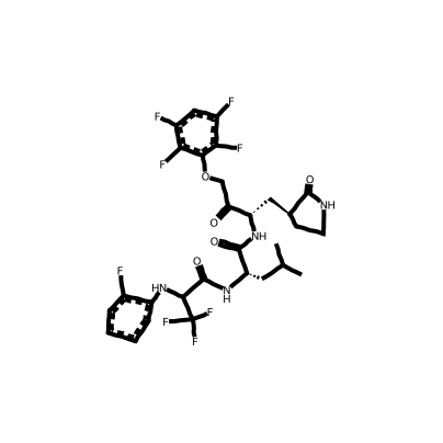 CC(C)C[C@H](NC(=O)C(Nc1ccccc1F)C(F)(F)F)C(=O)N[C@@H](C[C@@H]1CCNC1=O)C(=O)COc1c(F)c(F)cc(F)c1F